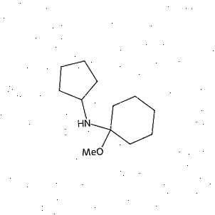 COC1(NC2CCCC2)CCCCC1